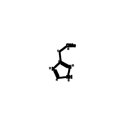 COCc1nc[nH]n1